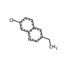 [CH2]Cc1cnc2cc(Cl)ccc2c1